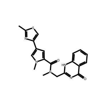 Cc1nc(-c2cc(C(=O)N(C)Cc3nc(=O)c4ccccc4[nH]3)n(C)c2)cs1